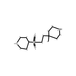 CC1(CCS(=O)(=O)C2CCOCC2)CCNCC1